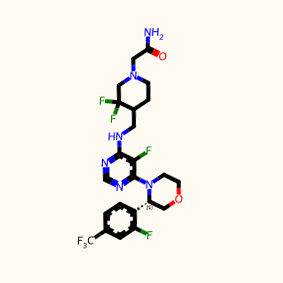 NC(=O)CN1CCC(CNc2ncnc(N3CCOC[C@@H]3c3ccc(C(F)(F)F)cc3F)c2F)C(F)(F)C1